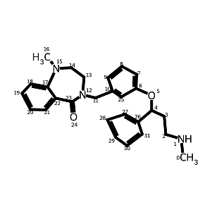 CNCCC(Oc1cccc(CN2CCN(C)c3ccccc3C2=O)c1)c1ccccc1